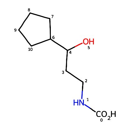 O=C(O)NCCC(O)C1CCCC1